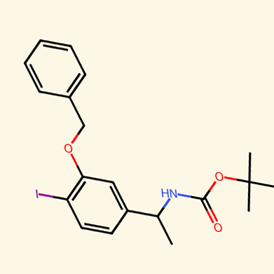 CC(NC(=O)OC(C)(C)C)c1ccc(I)c(OCc2ccccc2)c1